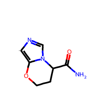 NC(=O)C1CCOc2[c]ncn21